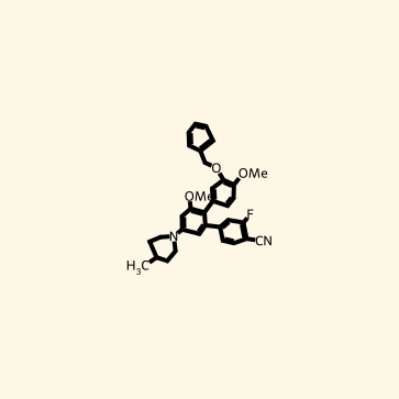 COc1ccc(-c2c(OC)cc(N3CCC(C)CC3)cc2-c2ccc(C#N)c(F)c2)cc1OCc1ccccc1